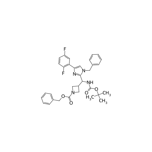 CC(C)(C)OC(=O)NC(c1nc(-c2cc(F)ccc2F)cn1Cc1ccccc1)C1CN(C(=O)OCc2ccccc2)C1